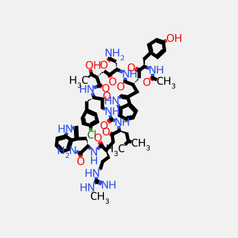 CNC(=N)NCCC[C@H](CC(=O)[C@H](CC(C)C)NC(=O)NCC(=O)[C@H](Cc1ccc(Cl)cc1)NC(=O)[C@@H](CC(=O)[C@H](CC(N)=O)NC(=O)[C@H](CC(=O)[C@@H](Cc1ccc(O)cc1)NC(C)=O)Cc1c[nH]c2ccccc12)[C@@H](C)O)C(=O)N[C@@H](Cc1c[nH]c2ccccc12)C(N)=O